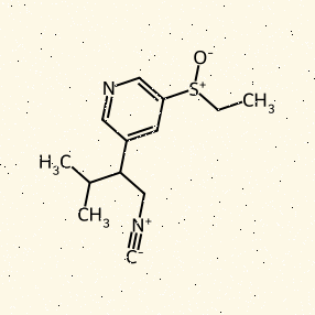 [C-]#[N+]CC(c1cncc([S+]([O-])CC)c1)C(C)C